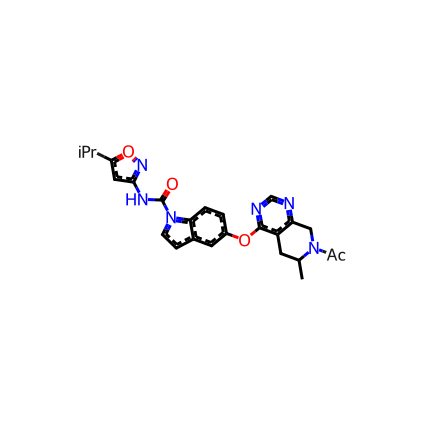 CC(=O)N1Cc2ncnc(Oc3ccc4c(ccn4C(=O)Nc4cc(C(C)C)on4)c3)c2CC1C